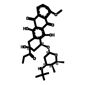 CCC(=O)[C@]1(O)Cc2c(O)c3c(c(O)c2[C@@H](O[C@H]2C[C@H](NC(C)(C)C)[C@H](C)[C@H](C)O2)C1)C(=O)c1c(OC)cccc1C3=O